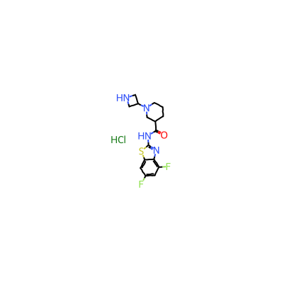 Cl.O=C(Nc1nc2c(F)cc(F)cc2s1)C1CCCN(C2CNC2)C1